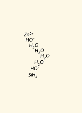 O.O.O.O.[OH-].[OH-].[SiH4].[Zn+2]